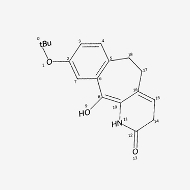 CC(C)(C)Oc1ccc2c(c1)C(O)=C1NC(=O)CC=C1CC2